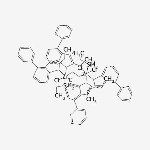 CC[SiH2][Zr]([Cl])([Cl])([CH2][CH2][Zr]([Cl])([Cl])([SiH2]CC)([CH]1C(CC)=Cc2c(-c3ccccc3)cccc21)[CH]1C(CC)=Cc2c(-c3ccccc3)cccc21)([CH]1C(CC)=Cc2c(-c3ccccc3)cccc21)[CH]1C(CC)=Cc2c(-c3ccccc3)cccc21